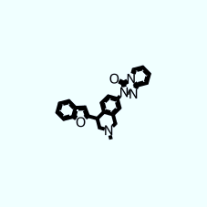 CN1Cc2cc(-n3nc4ccccn4c3=O)ccc2C(c2cc3ccccc3o2)C1